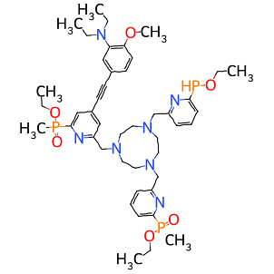 CCOPc1cccc(CN2CCN(Cc3cccc(P(C)(=O)OCC)n3)CCN(Cc3cc(C#Cc4ccc(OC)c(N(CC)CC)c4)cc(P(C)(=O)OCC)n3)CC2)n1